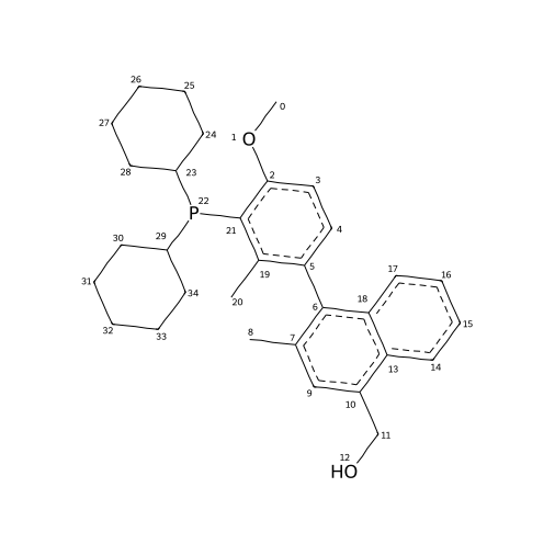 COc1ccc(-c2c(C)cc(CO)c3ccccc23)c(C)c1P(C1CCCCC1)C1CCCCC1